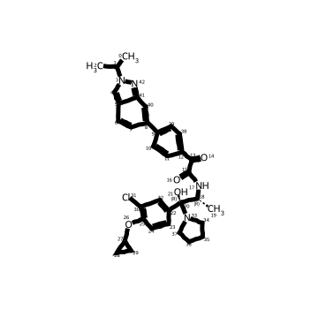 CC(C)n1cc2ccc(-c3ccc(C(=O)C(=O)N[C@H](C)[C@](O)(c4ccc(OC5CC5)c(Cl)c4)N4CCCC4)cc3)cc2n1